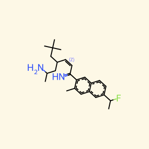 Cc1cc2cc(C(C)F)ccc2cc1C(=N)/C=C\C(CC(C)N)CC(C)(C)C